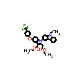 CCOC(=O)Cc1c(C(=O)OCC)c2cc(Oc3ccc(C(F)(F)F)cc3)ccc2n1-c1ccc2c(c1)c1ccccc1n2CC